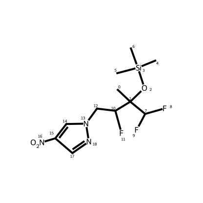 CC(O[Si](C)(C)C)(C(F)F)C(F)Cn1cc([N+](=O)[O-])cn1